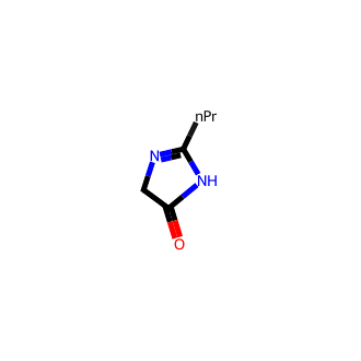 CCCC1=NCC(=O)N1